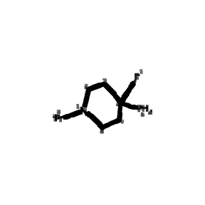 CC(C)N1CCC(F)(P)CC1